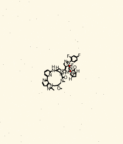 CO[C@H]1CN(C)C(=O)[C@@H]2C[C@@H](CN2c2nc(N3[C@@H]4C[C@H]3C(=O)N(CC(F)F)C4)nc3c2cnn3-c2ccc(F)cc2F)Nc2cccc(n2)-c2nccc3nc(C)n(c23)C1